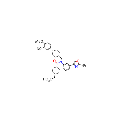 COc1ccc([C@H]2CC[C@H](CN(c3cccc(-c4coc(C(C)C)n4)c3)C(=O)[C@H]3CC[C@H](CC(=O)O)CC3)CC2)cc1C#N